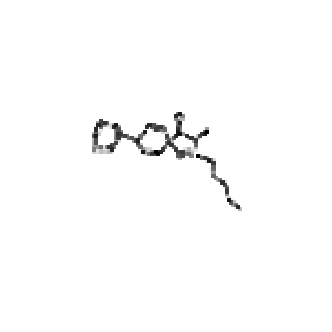 CCCCCC[C@H](C)C(=O)C1(O)C=CC(c2ccccc2)C=C1